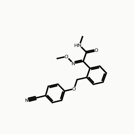 CNC(=O)C(=NOC)c1ccccc1COc1ccc(C#N)cc1